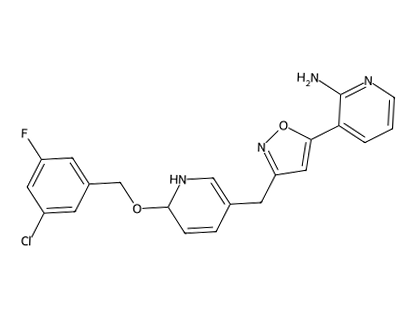 Nc1ncccc1-c1cc(CC2=CNC(OCc3cc(F)cc(Cl)c3)C=C2)no1